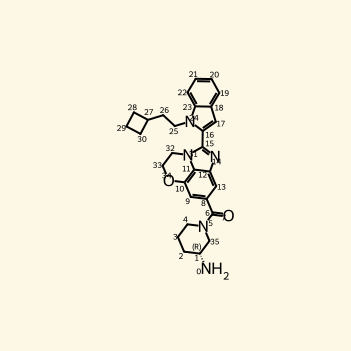 N[C@@H]1CCCN(C(=O)c2cc3c4c(c2)nc(-c2cc5ccccc5n2CCC2CCC2)n4CCO3)C1